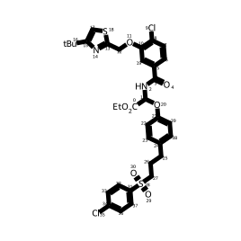 CCOC(=O)C(NC(=O)c1ccc(Cl)c(OCc2nc(C(C)(C)C)cs2)c1)Oc1ccc(CCCS(=O)(=O)c2ccc(Cl)cc2)cc1